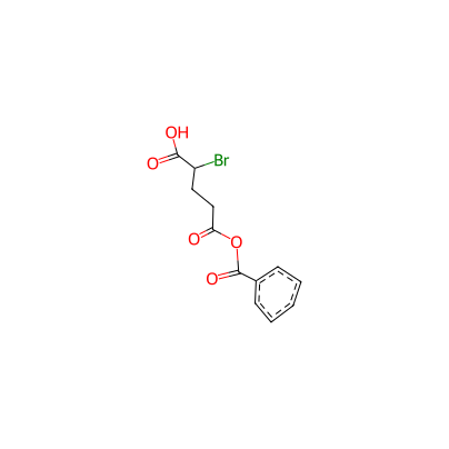 O=C(CCC(Br)C(=O)O)OC(=O)c1ccccc1